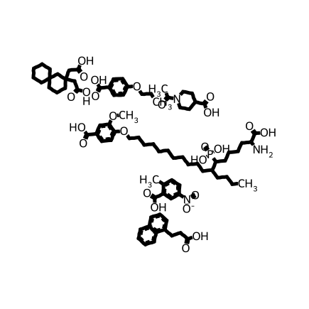 CC(=O)N1CCC(C(=O)O)CC1.CCCCC(CCCCCCCCCCCOc1ccc(C(=O)O)cc1OC)C(CCCCC(N)C(=O)O)P(=O)(O)O.CCCOc1ccc(C(=O)O)cc1.Cc1ccc([N+](=O)[O-])cc1C(=O)O.O=C(O)CC1(CC(=O)O)CCCC2(CCCCC2)C1.O=C(O)CCc1cccc2ccccc12